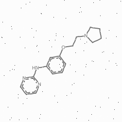 c1cnc(Nc2cccc(OCCN3CCCC3)c2)nc1